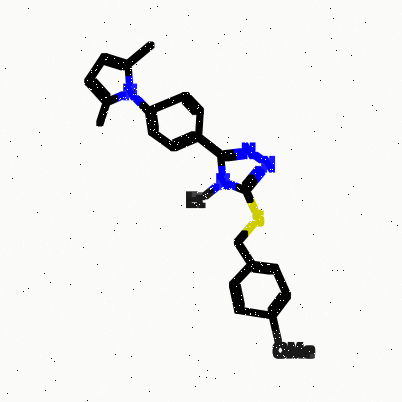 CCn1c(SCc2ccc(OC)cc2)nnc1-c1ccc(-n2c(C)ccc2C)cc1